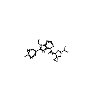 CCn1c(-c2cnc(C)nc2)nc2c(NC3CN(C(C)C)CC34CC4)ncnc21